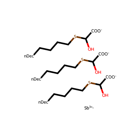 CCCCCCCCCCCCCCSC(O)C(=O)[O-].CCCCCCCCCCCCCCSC(O)C(=O)[O-].CCCCCCCCCCCCCCSC(O)C(=O)[O-].[Sb+3]